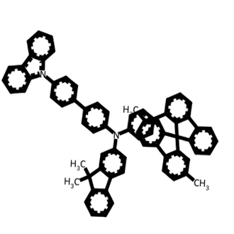 Cc1ccc2c(c1)C1(c3cc(C)ccc3-2)c2ccccc2-c2cccc(-c3ccc(N(c4ccc(-c5ccc(-n6c7ccccc7c7ccccc76)cc5)cc4)c4ccc5c(c4)C(C)(C)c4ccccc4-5)cc3)c21